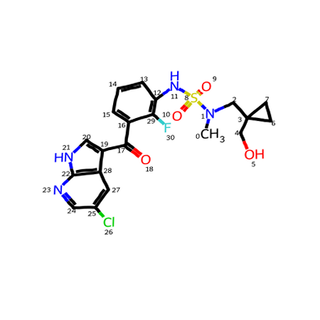 CN(CC1(CO)CC1)S(=O)(=O)Nc1cccc(C(=O)c2c[nH]c3ncc(Cl)cc23)c1F